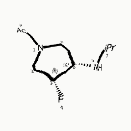 CC(=O)N1C[C@@H](F)[C@@H](NC(C)C)C1